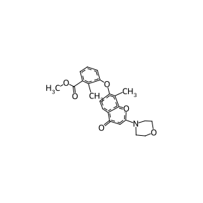 COC(=O)c1cccc(Oc2ccc3c(=O)cc(N4CCOCC4)oc3c2C)c1C